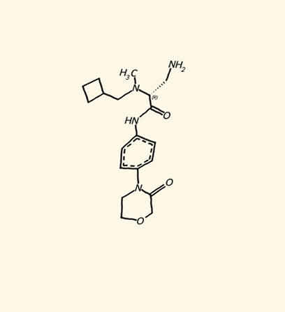 CN(CC1CCC1)[C@H](CN)C(=O)Nc1ccc(N2CCOCC2=O)cc1